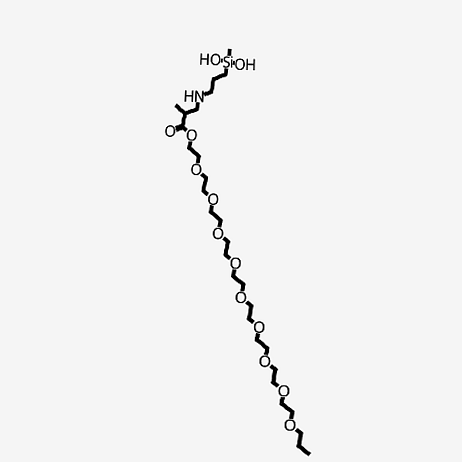 CCCOCCOCCOCCOCCOCCOCCOCCOCCOCCOC(=O)C(C)CNCCC[Si](C)(O)O